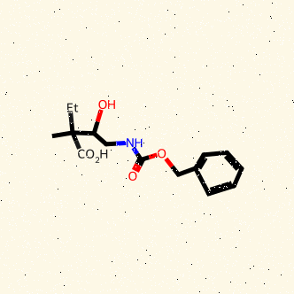 CCC(C)(C(=O)O)C(O)CNC(=O)OCc1ccccc1